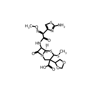 CON=C(C(=O)NC1C(=O)N2CC(C(=O)O)(C3COCO3)C(SC)S[C@H]12)c1csc(N)n1